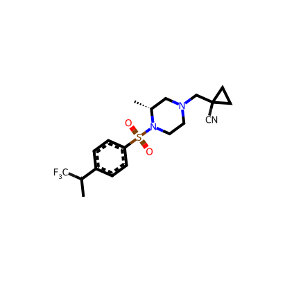 C[C](c1ccc(S(=O)(=O)N2CCN(CC3(C#N)CC3)C[C@H]2C)cc1)C(F)(F)F